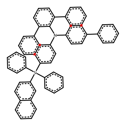 c1ccc(-c2ccc(N(c3ccc([Si](c4ccccc4)(c4ccccc4)c4ccc5ccccc5c4)cc3)c3c(-c4ccccc4)cccc3-c3ccccc3)cc2)cc1